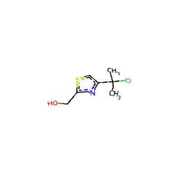 CC(C)(Cl)c1csc(CO)n1